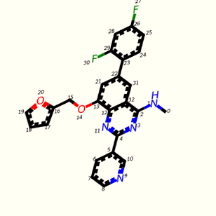 CNc1nc(-c2cccnc2)nc2c(OCc3ccco3)cc(-c3ccc(F)cc3F)cc12